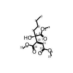 CCCC[C@](O)(C(=O)OC)/C(=C/C(=O)OC)C(=O)OC